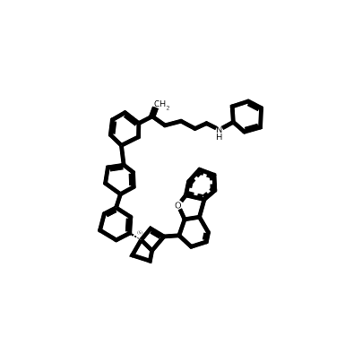 C=C(CCCCNC1C=CC=CC1)C1=CC=CC(C2=CCC(C3=CCCC([C@]45C=C(C6CC=CC7c8ccccc8OC67)C4CC5)=C3)C=C2)C1